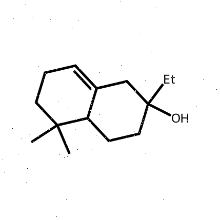 CCC1(O)CCC2C(=CCCC2(C)C)C1